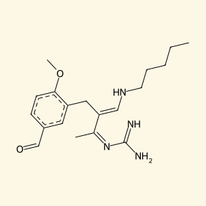 CCCCCN/C=C(Cc1cc(C=O)ccc1OC)/C(C)=N\C(=N)N